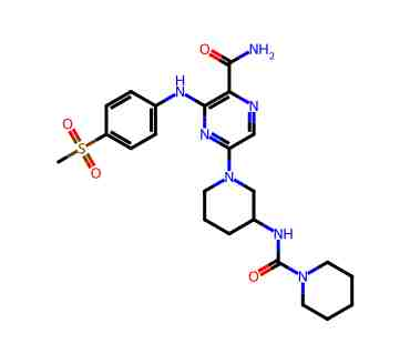 CS(=O)(=O)c1ccc(Nc2nc(N3CCCC(NC(=O)N4CCCCC4)C3)cnc2C(N)=O)cc1